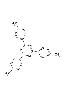 Cc1ccc(C2=NC(c3ccc(C)nc3)=NC(c3ccc(C)cc3)N2)cc1